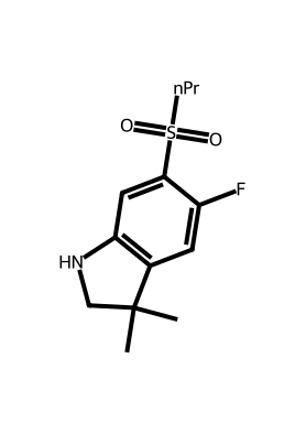 CCCS(=O)(=O)c1cc2c(cc1F)C(C)(C)CN2